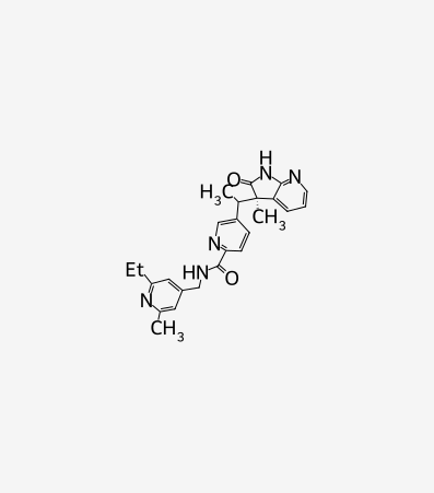 CCc1cc(CNC(=O)c2ccc(C(C)[C@@]3(C)C(=O)Nc4ncccc43)cn2)cc(C)n1